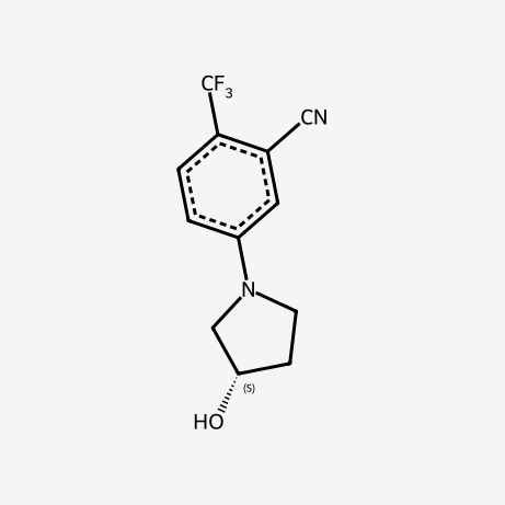 N#Cc1cc(N2CC[C@H](O)C2)ccc1C(F)(F)F